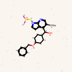 COc1cnc2c(ccn2SP(I)I)c1C(O)C1CCC(OCc2ccccc2)CC1